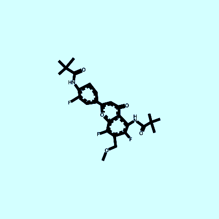 COCc1c(F)c(NC(=O)C(C)(C)C)c2c(=O)cc(-c3ccc(NC(=O)C(C)(C)C)c(F)c3)oc2c1F